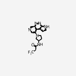 O=C(CC(F)(F)F)NC1CCN(c2cncc3nnc4[nH]ccc4c23)C1